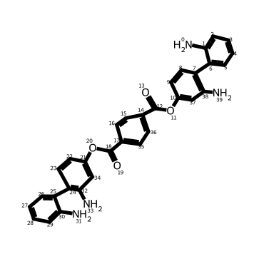 Nc1ccccc1-c1ccc(OC(=O)c2ccc(C(=O)Oc3ccc(-c4ccccc4N)c(N)c3)cc2)cc1N